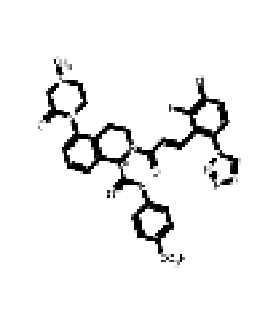 CN1CCN(c2cccc3c2CCN(C(=O)C=Cc2c(-n4cnnn4)ccc(Cl)c2F)[C@H]3C(=O)Nc2ccc(C(=O)O)cc2)C(=O)C1